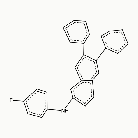 Fc1ccc(Nc2ccc3cc(-c4ccccc4)c(-c4ccccc4)cc3c2)cc1